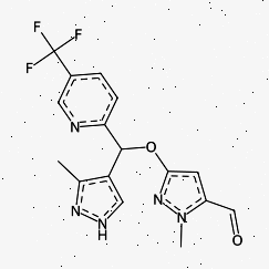 Cc1n[nH]cc1C(Oc1cc(C=O)n(C)n1)c1ccc(C(F)(F)F)cn1